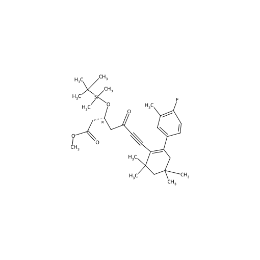 COC(=O)C[C@@H](CC(=O)C#CC1=C(c2ccc(F)c(C)c2)CC(C)(C)CC1(C)C)O[Si](C)(C)C(C)(C)C